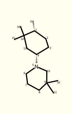 C[C@@H]1CC[C@H](N2CCCC(C)(C)C2)CC1(C)C